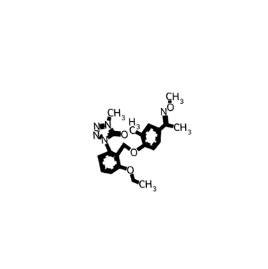 CCOc1cccc(-n2nnn(C)c2=O)c1COc1ccc(C(C)=NOC)cc1C